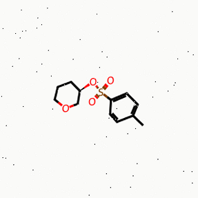 Cc1ccc(S(=O)(=O)O[C@@H]2CCCOC2)cc1